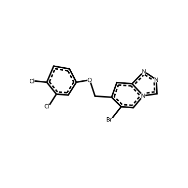 Clc1ccc(OCc2cc3nncn3cc2Br)cc1Cl